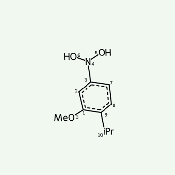 COc1cc(N(O)O)ccc1C(C)C